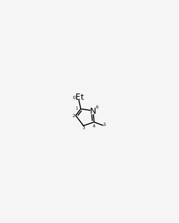 CCC1=CCC(C)=N1